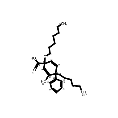 CCCCCCCOC1(C(=O)O)C=CC(CCCCCC)(c2ccccc2)C(O)=C1